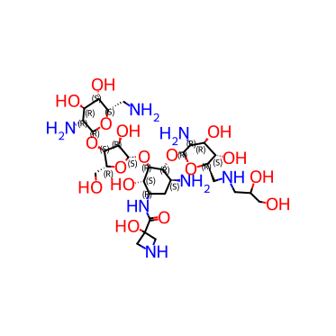 NC[C@@H]1O[C@H](O[C@H]2[C@@H](O)[C@H](O[C@@H]3[C@@H](O)[C@H](NC(=O)C4(O)CNC4)C[C@H](N)[C@H]3O[C@H]3O[C@H](CNCC(O)CO)[C@@H](O)[C@H](O)[C@H]3N)O[C@@H]2CO)[C@H](N)[C@@H](O)[C@@H]1O